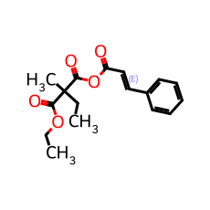 CCOC(=O)C(C)(CC)C(=O)OC(=O)/C=C/c1ccccc1